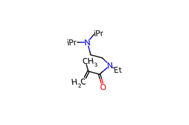 C=C(C)C(=O)N(CC)CCN(C(C)C)C(C)C